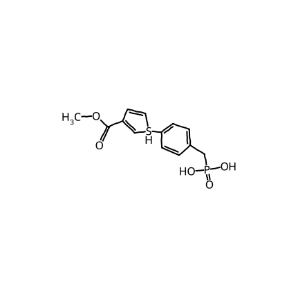 COC(=O)C1=C[SH](c2ccc(CP(=O)(O)O)cc2)C=C1